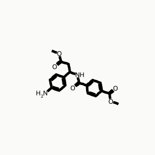 COC(=O)CC(NC(=O)c1ccc(C(=O)OC)cc1)c1ccc(N)cc1